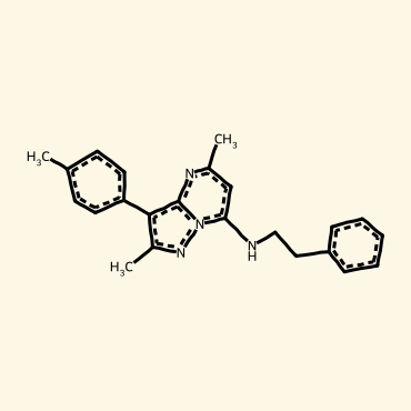 Cc1ccc(-c2c(C)nn3c(NCCc4ccccc4)cc(C)nc23)cc1